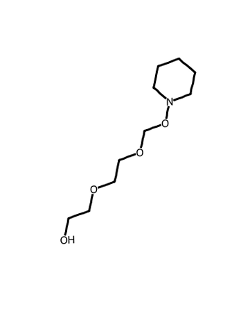 OCCOCCOCON1CCCCC1